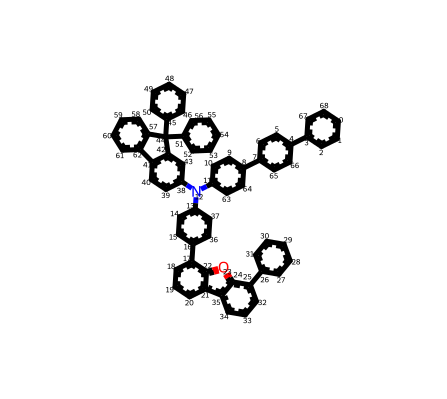 c1ccc(-c2ccc(-c3ccc(N(c4ccc(-c5cccc6c5oc5c(-c7ccccc7)cccc56)cc4)c4ccc5c(c4)C(c4ccccc4)(c4ccccc4)c4ccccc4-5)cc3)cc2)cc1